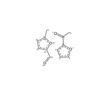 CC(=O)c1ccco1.Cc1ccc(C=O)o1